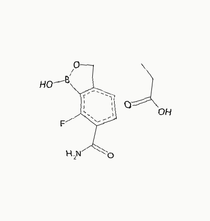 CCC(=O)O.NC(=O)c1ccc2c(c1F)B(O)OC2